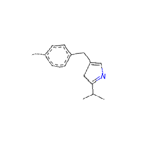 Cc1ccc(CC2=CN=C(C(C)C)C2)cc1